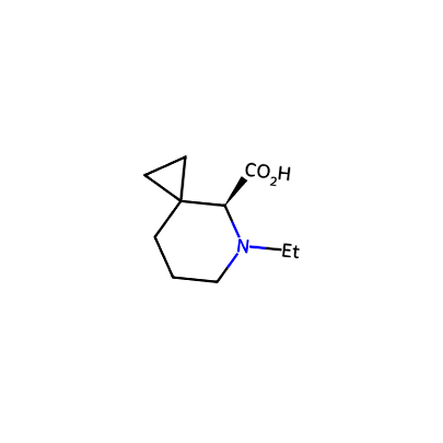 CCN1CCCC2(CC2)[C@H]1C(=O)O